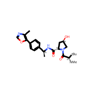 CN[C@H](C(=O)N1C[C@H](O)C[C@H]1C(=O)N[C@@H](C)c1ccc(-c2ocnc2C)cc1)C(C)(C)C